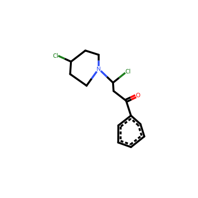 O=C(CC(Cl)N1CCC(Cl)CC1)c1ccccc1